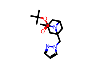 CC1CC2CC(Cn3cccn3)(C1)N2C(=O)OC(C)(C)C